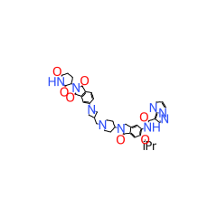 CC(C)Oc1cc2c(cc1NC(=O)c1cnn3cccnc13)CN(C1CCN(CC3CN(c4ccc5c(c4)C(=O)N(C4CCC(=O)NC4=O)C5=O)C3)CC1)C2=O